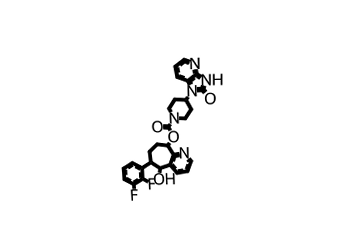 O=C(OC1CCC(c2cccc(F)c2F)C(O)c2cccnc21)N1CCC(n2c(=O)[nH]c3ncccc32)CC1